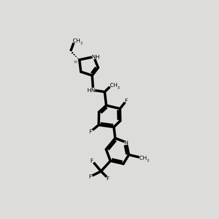 CC[C@H]1CC(NC(C)c2cc(F)c(-c3cc(C(F)(F)F)cc(C)n3)cc2F)=CN1